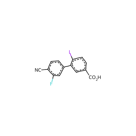 N#Cc1ccc(-c2cc(C(=O)O)ccc2I)cc1F